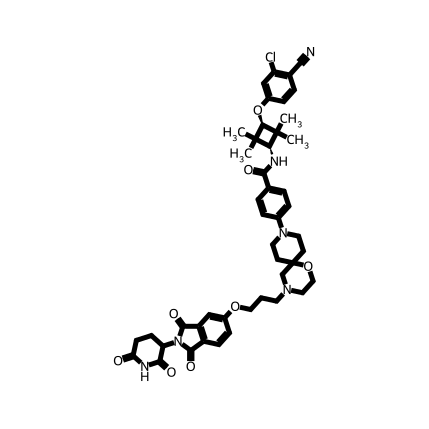 CC1(C)[C@H](NC(=O)c2ccc(N3CCC4(CC3)CN(CCCOc3ccc5c(c3)C(=O)N(C3CCC(=O)NC3=O)C5=O)CCO4)cc2)C(C)(C)[C@H]1Oc1ccc(C#N)c(Cl)c1